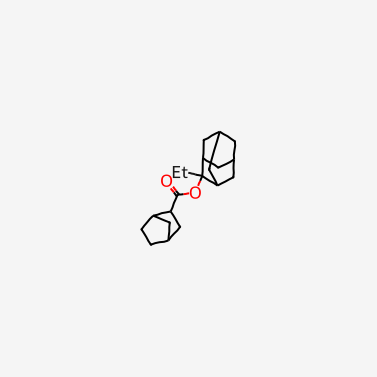 CCC1(OC(=O)C2CC3CCC2C3)C2CC3CC(C2)CC1C3